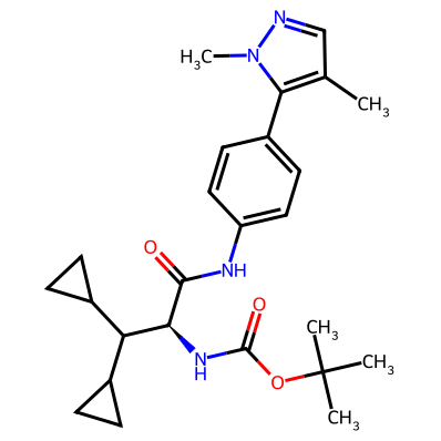 Cc1cnn(C)c1-c1ccc(NC(=O)[C@@H](NC(=O)OC(C)(C)C)C(C2CC2)C2CC2)cc1